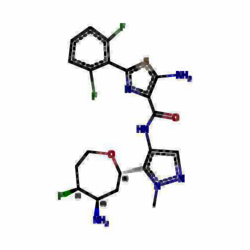 Cn1ncc(NC(=O)c2nc(-c3c(F)cccc3F)sc2N)c1[C@@H]1C[C@@H](N)[C@@H](F)CCO1